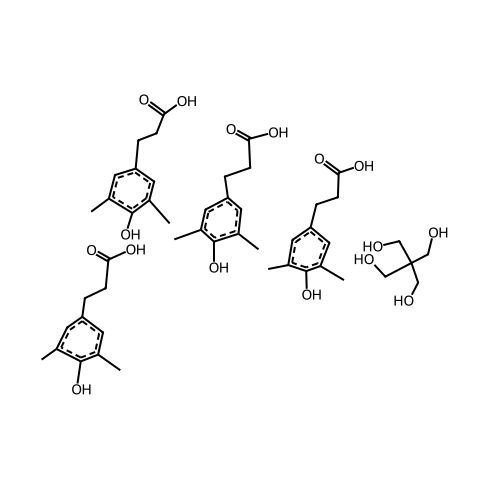 Cc1cc(CCC(=O)O)cc(C)c1O.Cc1cc(CCC(=O)O)cc(C)c1O.Cc1cc(CCC(=O)O)cc(C)c1O.Cc1cc(CCC(=O)O)cc(C)c1O.OCC(CO)(CO)CO